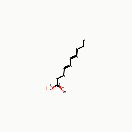 CCCC=CC=CCCC(=O)O